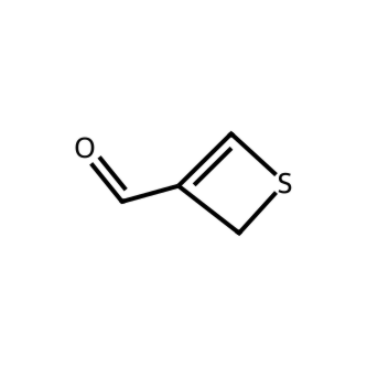 O=CC1=CSC1